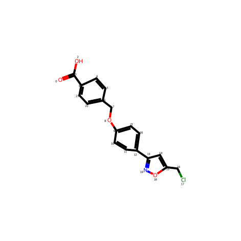 O=C(O)c1ccc(COc2ccc(-c3cc(CCl)on3)cc2)cc1